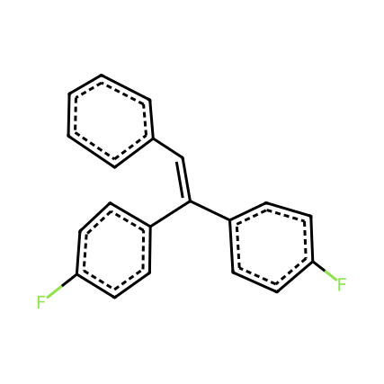 Fc1ccc(C(=Cc2ccccc2)c2ccc(F)cc2)cc1